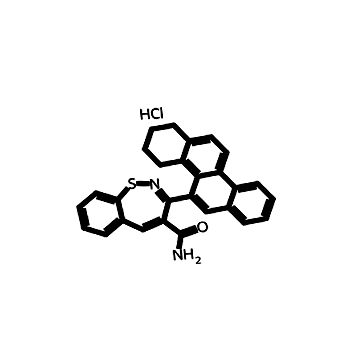 Cl.NC(=O)C1=Cc2ccccc2SN=C1c1cc2ccccc2c2ccc3c(c12)CCCC3